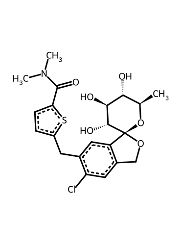 C[C@H]1O[C@]2(OCc3cc(Cl)c(Cc4ccc(C(=O)N(C)C)s4)cc32)[C@H](O)[C@@H](O)[C@@H]1O